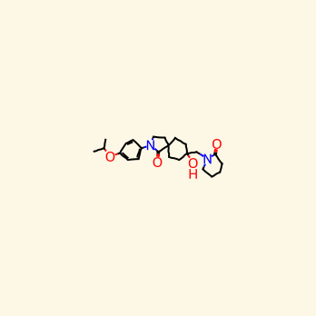 CC(C)Oc1ccc(N2CCC3(CCC(O)(CN4CCCCC4=O)CC3)C2=O)cc1